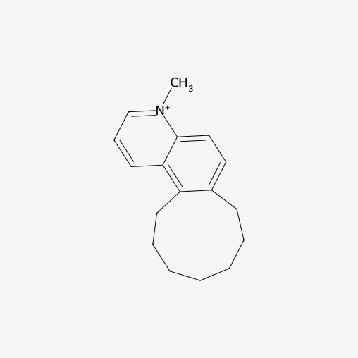 C[n+]1cccc2c3c(ccc21)CCCCCCC3